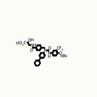 CCCCOc1ccc(NC(=O)N(Cc2ccc(C(=O)NC[C@@H](O)C(=O)O)cc2)c2ccc(C3=CCCCC3)cc2)cc1C(F)(F)F